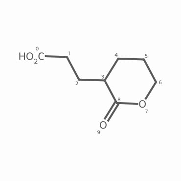 O=C(O)CCC1CCCOC1=O